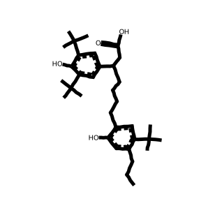 CCCc1cc(O)c(CCCCC(CC(=O)O)c2cc(C(C)(C)C)c(O)c(C(C)(C)C)c2)cc1C(C)(C)C